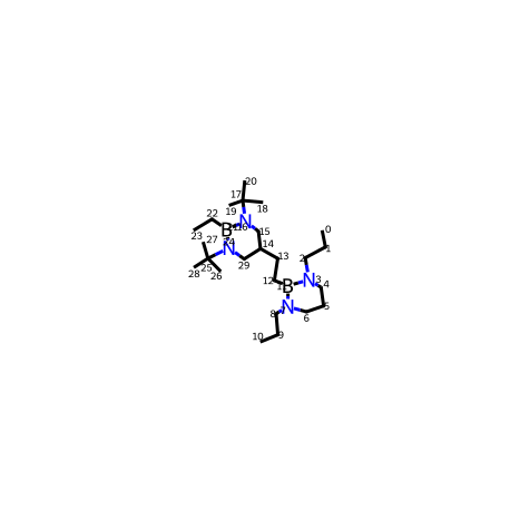 CCCN1CCCN(CCC)B1CCC1CN(C(C)(C)C)B(CC)N(C(C)(C)C)C1